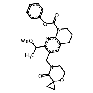 COC(C)c1nc2c(cc1CN1CCOC3(CC3)C1=O)CCCN2C(=O)Oc1ccccc1